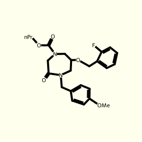 CCCOC(=O)N1CC(=O)N(Cc2ccc(OC)cc2)CC(OCc2ccccc2F)C1